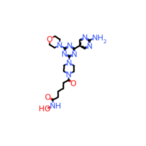 Nc1ncc(-c2nc(N3CCOCC3)nc(N3CCN(C(=O)CCCCC(=O)NO)CC3)n2)cn1